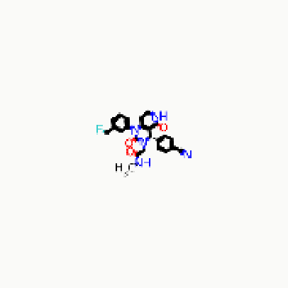 CNC(=O)CN1C(=O)N(c2cccc(CF)c2)C2=C(C(=O)NCC2)[C@@H]1c1ccc(C#N)cc1